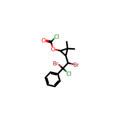 CC1(C)C(OC(=O)Cl)C1C(Br)C(Cl)(Br)c1ccccc1